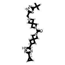 CC(C)(C)c1nnc(CN2CC3(C2)CN(C(=O)N2CC4(CC(c5nc(C6CC6)n[nH]5)C4)C2)C3)s1